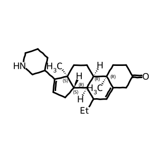 CCC1C=C2CC(=O)CC[C@]2(C)[C@@H]2CC[C@]3(C)C(C4CCCNC4)=CC[C@H]3[C@H]12